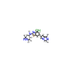 Cc1cn2cc(-c3ccc4nc(N(C)C5CC(C)(C)NC(C)(C)C5)sc4c3)cc2c(C)n1.Cl